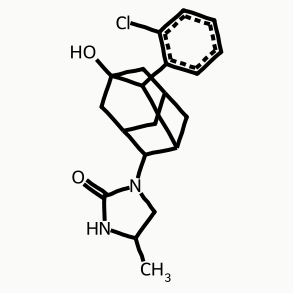 CC1CN(C2C3CC4CC2C(c2ccccc2Cl)C(O)(C4)C3)C(=O)N1